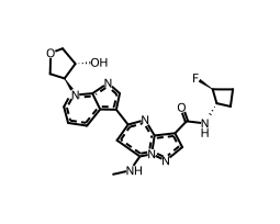 CNc1cc(-c2cnc3n([C@H]4COC[C@@H]4O)cccc2-3)nc2c(C(=O)N[C@H]3CC[C@@H]3F)cnn12